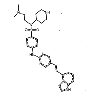 CN(C)CCN(C1CCNCC1)S(=O)(=O)c1ccc(Nc2ncc(C=Cc3cccc4[nH]ccc34)cn2)cc1